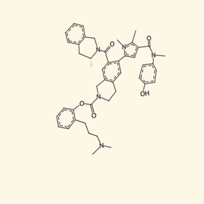 Cc1c(C(=O)N(C)c2ccc(O)cc2)cc(-c2cc3c(cc2C(=O)N2Cc4ccccc4C[C@H]2C)CN(C(=O)Oc2ccccc2CCCN(C)C)CC3)n1C